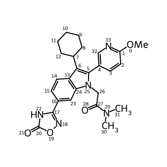 COc1ccc(-c2c(C3CCCCC3)c3ccc(-c4noc(=O)[nH]4)cc3n2CC(=O)N(C)C)cn1